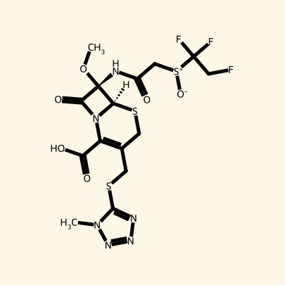 CO[C@@]1(NC(=O)C[S+]([O-])C(F)(F)CF)C(=O)N2C(C(=O)O)=C(CSc3nnnn3C)CS[C@@H]21